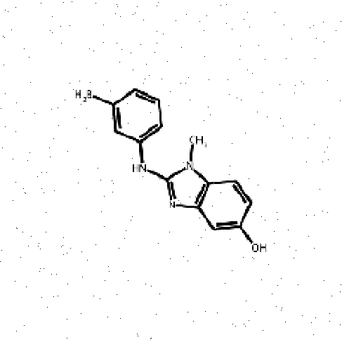 Bc1cccc(Nc2nc3cc(O)ccc3n2C)c1